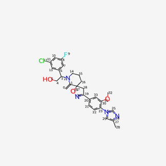 C=C1N(C(CO)c2cc(F)cc(Cl)c2)CCCC12CC(c1ccc(-n3cnc(C)c3)c(OC)c1)=NO2